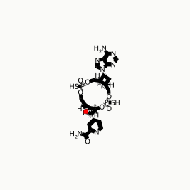 NC(=O)c1cc([C@@H]2O[C@@H]3COP(=O)(S)OC[C@@H]4[C@@H](COP(=O)(S)O[C@@H]2[C@@H]3O)C[C@H]4n2cnc3c(N)ncnc32)ccn1